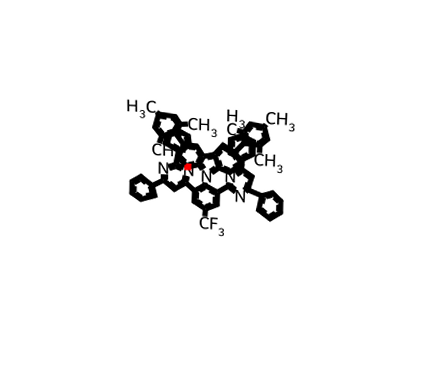 Cc1cc(C)c(-c2ccc3c(c2)c2cc(-c4c(C)cc(C)cc4C)ccc2n3-c2c(-c3cc(-c4ccccc4)nc(-c4ccccc4)n3)cc(C(F)(F)F)cc2-c2nc(-c3ccccc3)cc(-c3ccccc3)n2)c(C)c1